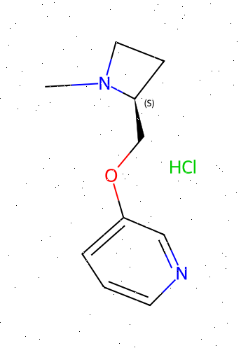 CN1CC[C@H]1COc1cccnc1.Cl